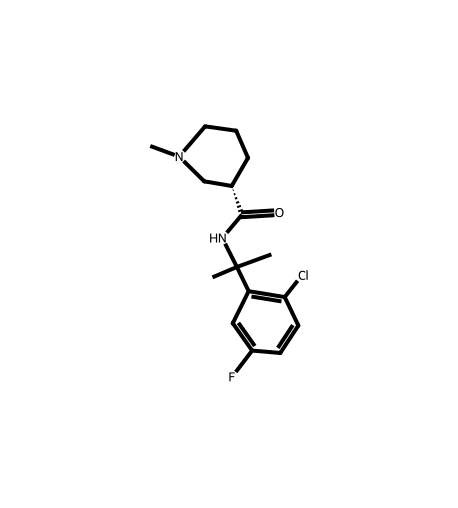 CN1CCC[C@H](C(=O)NC(C)(C)c2cc(F)ccc2Cl)C1